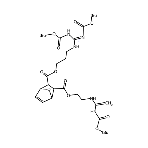 C=C(NCCOC(=O)C1C2C=CC(O2)C1C(=O)OCCCN/C(=N/C(=O)OC(C)(C)C)NC(=O)OC(C)(C)C)NC(=O)OC(C)(C)C